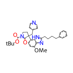 COc1ccc(C2(Cc3ccncc3)CCN(C(=O)OC(C)(C)C)C2=O)c2[nH]c(CCCCc3ccccc3)nc12